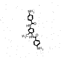 Cc1cc(NC(=O)c2ccc(N)cc2)ccc1NC(=O)c1ccc(N)cc1